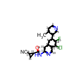 Cc1ccncc1-c1cc2cc(NC(=O)C3CC3C#N)ncc2c(Cl)c1F